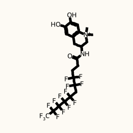 C[N+]1(C)CC(NC(=O)CCC(F)(F)C(F)(F)CC(F)(F)C(F)(F)C(F)(F)C(F)(F)C(F)(F)F)Cc2cc(O)c(O)cc21